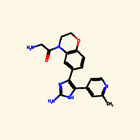 Cc1cc(-c2[nH]c(N)nc2-c2ccc3c(c2)N(C(=O)CN)CCO3)ccn1